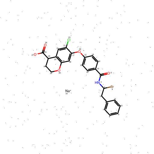 O=C(NC(Br)Cc1ccccc1)c1ccc(Oc2cc3c(cc2Cl)C(C(=O)[O-])CCO3)cc1.[Na+]